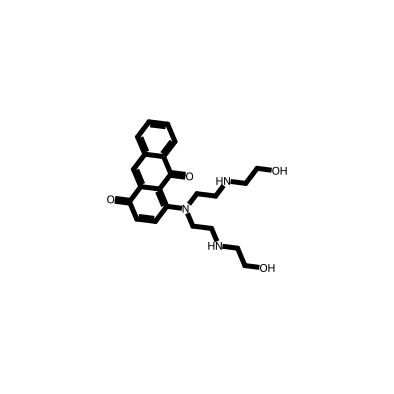 O=C1C=CC(N(CCNCCO)CCNCCO)=C2C(=O)c3ccccc3C=C12